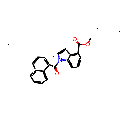 COC(=O)c1cccc2c1ccn2C(=O)c1cccc2ccccc12